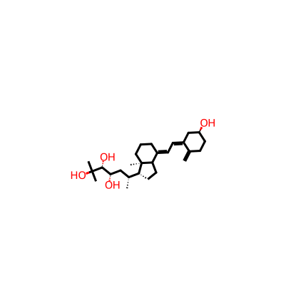 C=C1CC[C@H](O)C/C1=C/C=C1CCC[C@@]2(C)C1CC[C@@H]2[C@H](C)C[C@H](O)[C@@H](O)C(C)(C)O